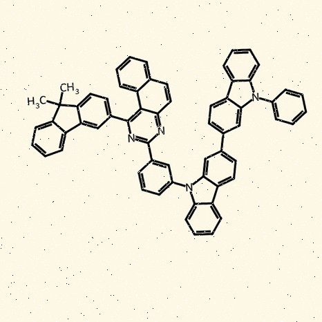 CC1(C)c2ccccc2-c2cc(-c3nc(-c4cccc(-n5c6ccccc6c6ccc(-c7ccc8c9ccccc9n(-c9ccccc9)c8c7)cc65)c4)nc4ccc5ccccc5c34)ccc21